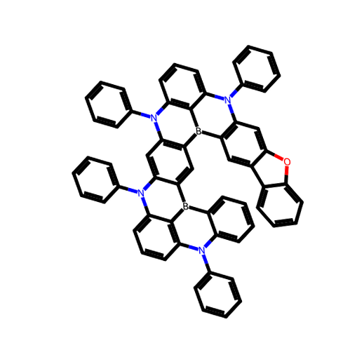 c1ccc(N2c3ccccc3B3c4cc5c(cc4N(c4ccccc4)c4cccc2c43)N(c2ccccc2)c2cccc3c2B5c2cc4c(cc2N3c2ccccc2)oc2ccccc24)cc1